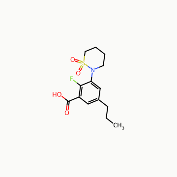 CCCc1cc(C(=O)O)c(F)c(N2CCCCS2(=O)=O)c1